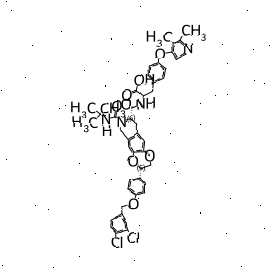 Cc1nccc(Oc2ccc(CC(NC(=O)[C@@H]3Cc4cc5c(cc4CN3C(=O)NC(C)(C)C)O[C@@H](c3ccc(OCc4ccc(Cl)c(Cl)c4)cc3)CO5)C(=O)O)cc2)c1C